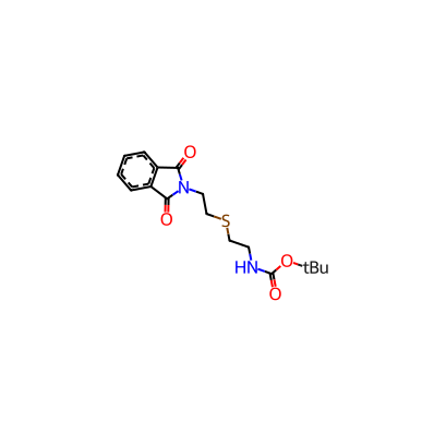 CC(C)(C)OC(=O)NCCSCCN1C(=O)c2ccccc2C1=O